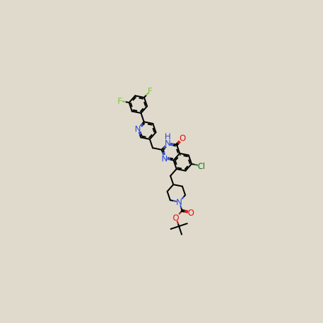 CC(C)(C)OC(=O)N1CCC(Cc2cc(Cl)cc3c(=O)[nH]c(Cc4ccc(-c5cc(F)cc(F)c5)nc4)nc23)CC1